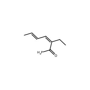 CC=CC=C(CC)C(=O)[PH4]